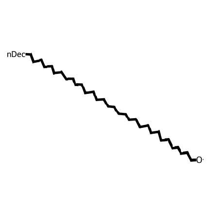 CCCCCCCCCCCCCCCCCCCCCCCCCCCCCCCCCCCCCCCCCC[O]